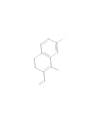 O=CC1=C(Br)c2cc(Cl)ccc2CC1